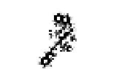 CC(C)OC(CC(C(OC(C)C)S(=O)(=O)Cc1cnc2ccccc2c1)N(C=O)OC(C)(C)C)C(CSCc1cnc2ccccc2c1)N(C=O)OC(C)(C)C